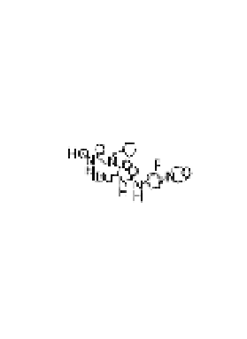 CC(C)(C)[C@H](NC(=O)Nc1ccc(N2CCOCC2)c(F)c1)C(=O)N(CC(=O)NO)CC1CCCC1